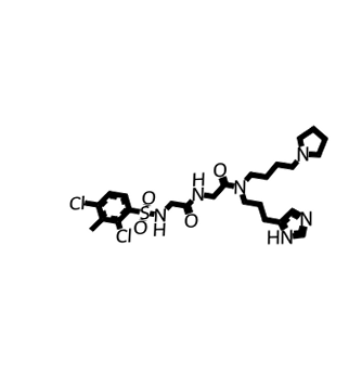 Cc1c(Cl)ccc(S(=O)(=O)NCC(=O)NCC(=O)N(CCCCN2CCCC2)CCCc2cnc[nH]2)c1Cl